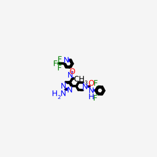 C/C(=N\Oc1ccnc(C(F)(F)F)c1)c1cnc(N)nc1C1CCN(C(=O)Nc2c(F)cccc2F)CC1